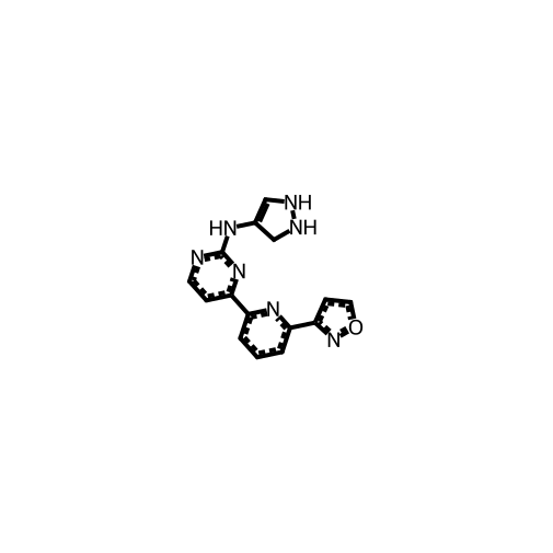 C1=C(Nc2nccc(-c3cccc(-c4ccon4)n3)n2)CNN1